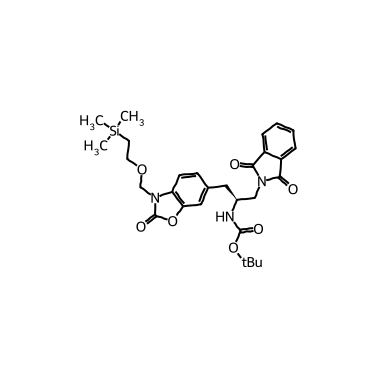 CC(C)(C)OC(=O)N[C@@H](Cc1ccc2c(c1)oc(=O)n2COCC[Si](C)(C)C)CN1C(=O)c2ccccc2C1=O